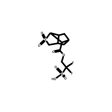 O=C(OCC(F)(F)S(=O)(=O)O)C1C2CC3CS(=O)(=O)C1C3C2